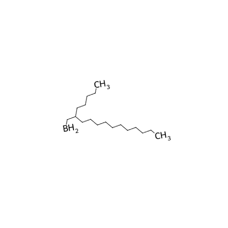 BCC(CCCCC)CCCCCCCCCCC